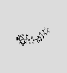 FC(F)(c1ccccc1)c1noc([C@H]2CC[C@H](Nc3ncnc4[nH]ncc34)C2)n1